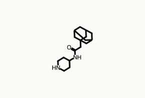 O=C(CC12CC3CC(CC(C3)C1)C2)NC1CCNCC1